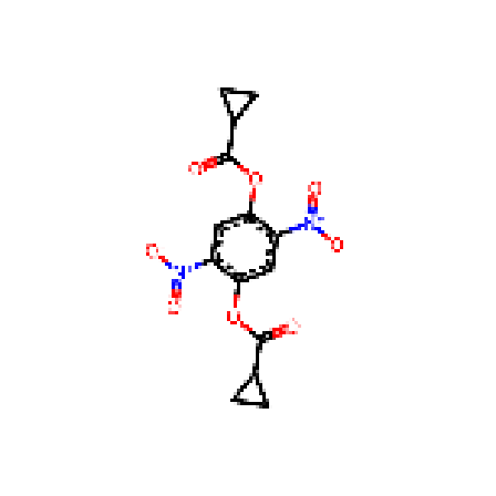 O=C(Oc1cc([N+](=O)[O-])c(OC(=O)C2CC2)cc1[N+](=O)[O-])C1CC1